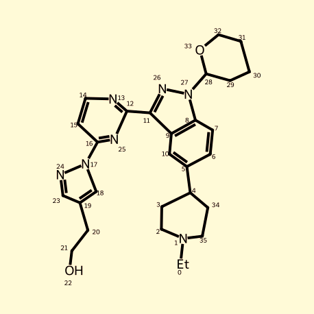 CCN1CCC(c2ccc3c(c2)c(-c2nccc(-n4cc(CCO)cn4)n2)nn3C2CCCCO2)CC1